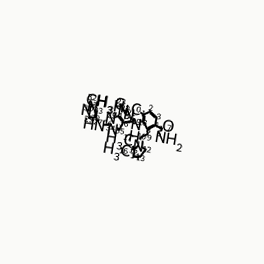 Cc1ccc(C(N)=O)c(CCN2CCCC2(C)C)c1Nc1nn(C)c2nc(Nc3cnn(C)c3)ncc12